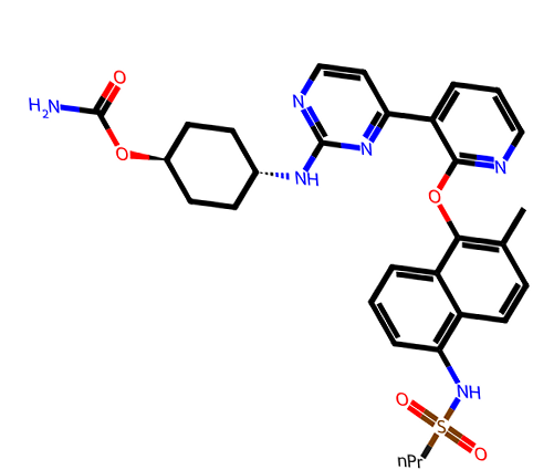 CCCS(=O)(=O)Nc1cccc2c(Oc3ncccc3-c3ccnc(N[C@H]4CC[C@H](OC(N)=O)CC4)n3)c(C)ccc12